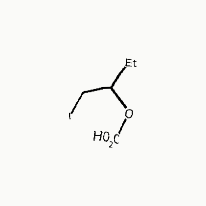 CCC(CI)OC(=O)O